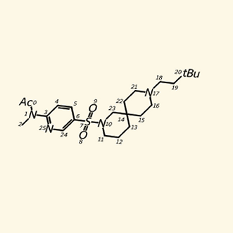 CC(=O)N(C)c1ccc(S(=O)(=O)N2CCCC3(CCN(CCC(C)(C)C)CC3)C2)cn1